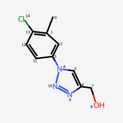 Cc1cc(-n2cc(CO)nn2)ccc1Cl